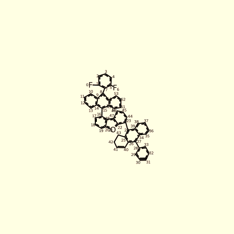 Fc1cccc(F)c1-c1c2ccccc2c(-c2cccc3oc4c(-c5c6c(c(-c7cc#ccc7)c7ccccc57)C=CCC6)cccc4c23)c2ccccc12